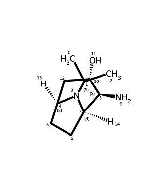 CC(C)N1[C@H]2CC[C@@H]1[C@H](N)[C@@H](O)C2